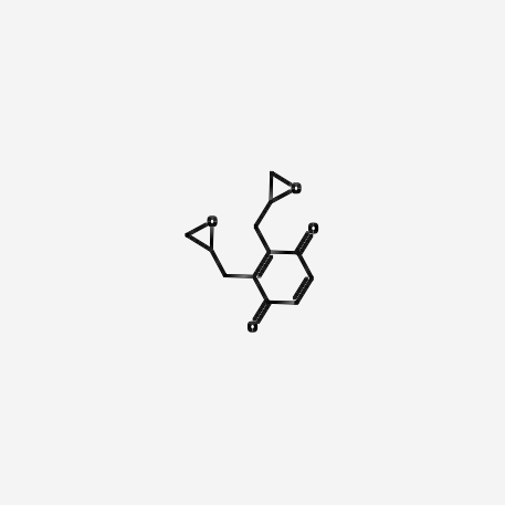 O=C1C=CC(=O)C(CC2CO2)=C1CC1CO1